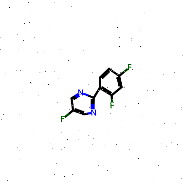 Fc1[c]c(F)c(-c2ncc(F)cn2)cc1